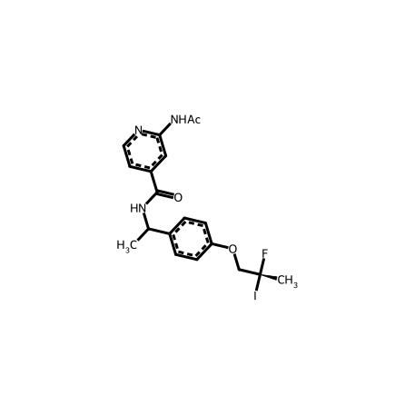 CC(=O)Nc1cc(C(=O)NC(C)c2ccc(OC[C@](C)(F)I)cc2)ccn1